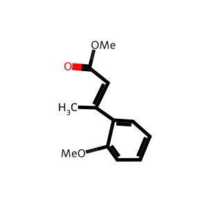 COC(=O)/C=C(\C)c1ccccc1OC